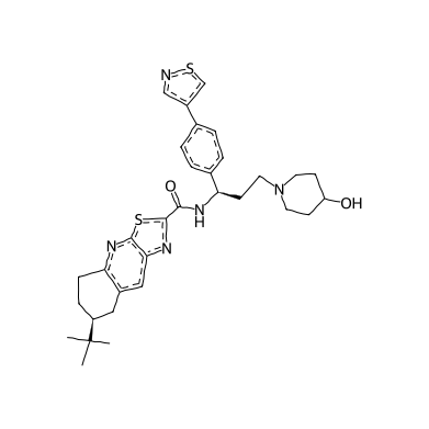 CC(C)(C)[C@H]1CCc2nc3sc(C(=O)N[C@H](CCN4CCC(O)CC4)c4ccc(-c5cnsc5)cc4)nc3cc2C1